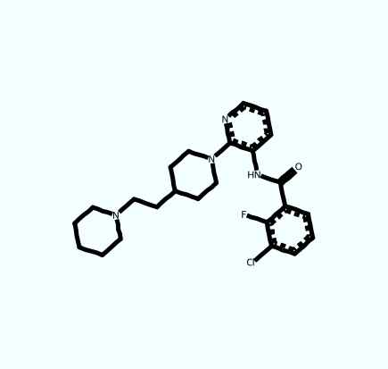 O=C(Nc1cccnc1N1CCC(CCN2CCCCC2)CC1)c1cccc(Cl)c1F